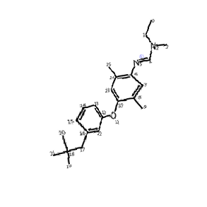 CCN(C)/C=N/c1cc(C)c(Oc2cccc(CC(C)(C)C)c2)cc1C